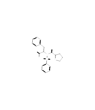 O=C(O)C(Cc1ccccc1)N(C(=O)C1CCCN1)S(=O)(=O)c1ccccc1